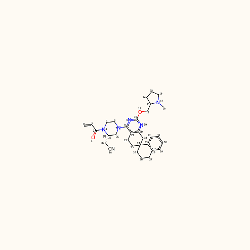 C=CC(=O)N1CCN(c2nc(OCC3CCCN3C)nc3c2CCC2(CCCc4ccccc42)C3)C[C@@H]1CC#N